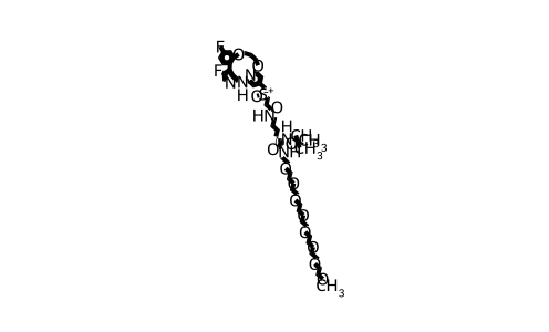 COCCOCCOCCOCCOCCOCCOCCOCCNC(=O)[C@H](CCCCNC(=O)CC[S+]([O-])Cc1cc2nc(c1)OCCCOc1cc(F)ccc1-c1cc(ncc1F)N2)NOC(C)(C)C